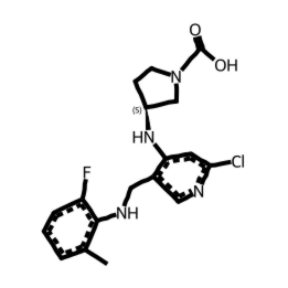 Cc1cccc(F)c1NCc1cnc(Cl)cc1N[C@H]1CCN(C(=O)O)C1